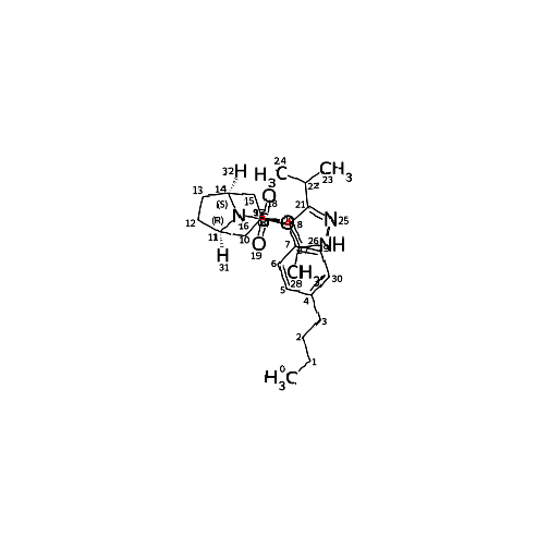 CCCCc1ccc(O[C@H]2C[C@H]3CC[C@@H](C2)N3S(=O)(=O)c2c(C(C)C)n[nH]c2C)cc1